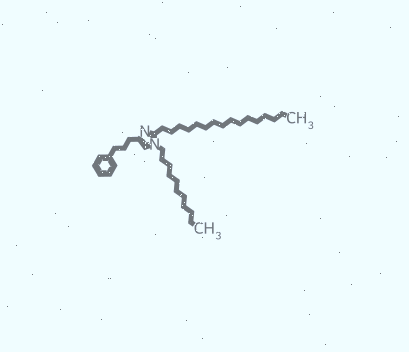 CCCCCCCCCCCCCCCCc1nc(CCCc2ccccc2)cn1CCCCCCCCCCC